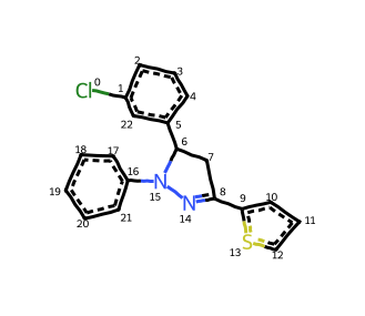 Clc1cccc(C2CC(c3cccs3)=NN2c2ccccc2)c1